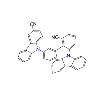 N#Cc1ccc2c(c1)c1ccccc1n2-c1cccc(-c2c(C#N)cccc2-n2c3ccccc3c3ccccc32)c1